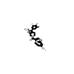 Cc1ccn2c(C(=O)N3CCc4c(nn(C)c4-c4cc(F)c(F)c(F)c4)C3)cnc2c1